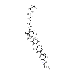 C/C=C/C1COC(c2ccc(-c3ccc(-c4ccc(OCCCCCCCCC)c(F)c4F)cc3)c(F)c2)OC1